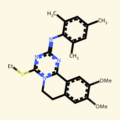 CCSc1nc(=Nc2c(C)cc(C)cc2C)nc2n1CCc1cc(OC)c(OC)cc1-2